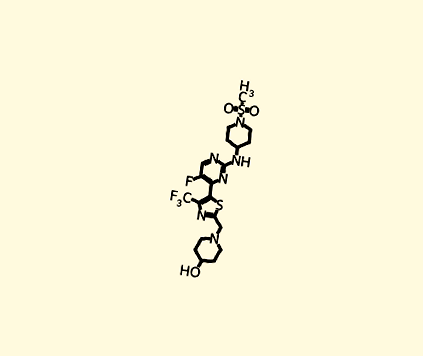 CS(=O)(=O)N1CCC(Nc2ncc(F)c(-c3sc(CN4CCC(O)CC4)nc3C(F)(F)F)n2)CC1